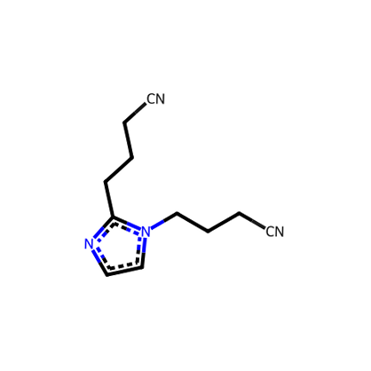 N#CCCCc1nccn1CCCC#N